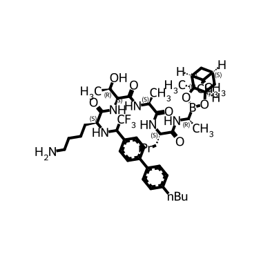 CCCCc1ccc(-c2ccc(C(N[C@@H](CCCCN)C(=O)N[C@H](C(=O)N[C@@H](C)C(=O)N[C@@H](CC(C)C)C(=O)N[C@@H](C)B3O[C@@H]4C[C@@H]5C[C@@H](C5(C)C)[C@]4(C)O3)[C@@H](C)O)C(F)(F)F)cc2)cc1